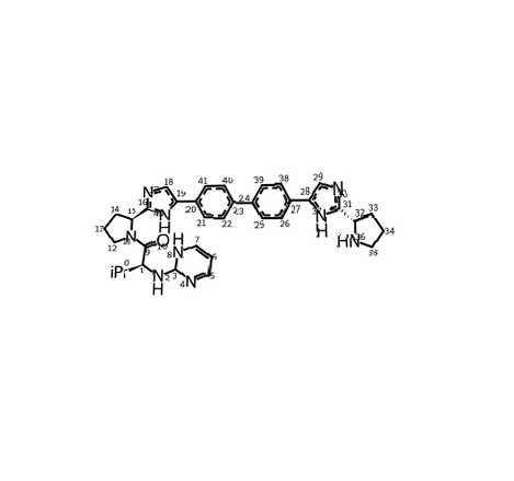 CC(C)[C@H](NC1N=CC=CN1)C(=O)N1CCC[C@H]1c1ncc(-c2ccc(-c3ccc(-c4cnc([C@@H]5CCCN5)[nH]4)cc3)cc2)[nH]1